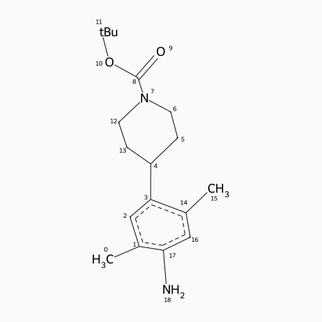 Cc1cc(C2CCN(C(=O)OC(C)(C)C)CC2)c(C)cc1N